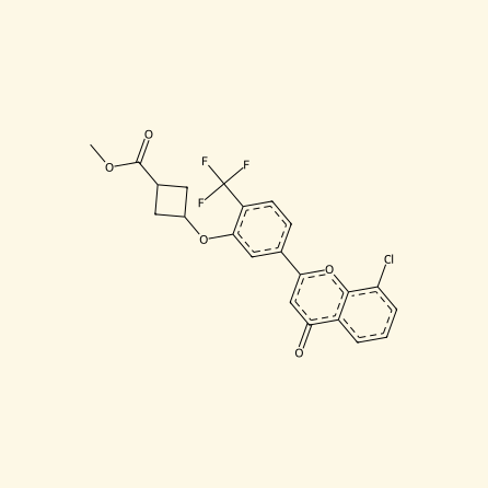 COC(=O)C1CC(Oc2cc(-c3cc(=O)c4cccc(Cl)c4o3)ccc2C(F)(F)F)C1